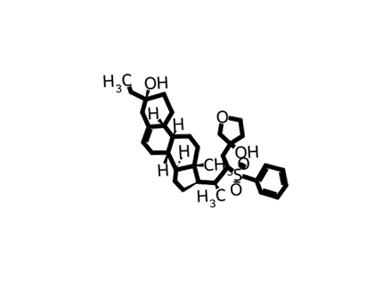 CC[C@]1(O)CC[C@H]2C(=CC[C@@H]3[C@@H]2CC[C@]2(C)[C@@H]([C@H](C)C(CC4(O)CCOC4)S(=O)(=O)c4ccccc4)CC[C@@H]32)C1